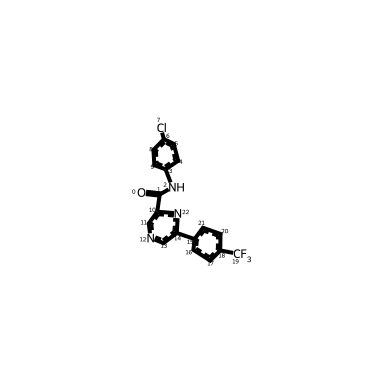 O=C(Nc1ccc(Cl)cc1)c1cncc(-c2ccc(C(F)(F)F)cc2)n1